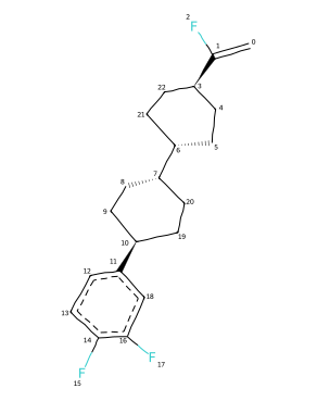 C=C(F)[C@H]1CC[C@H]([C@H]2CC[C@H](c3ccc(F)c(F)c3)CC2)CC1